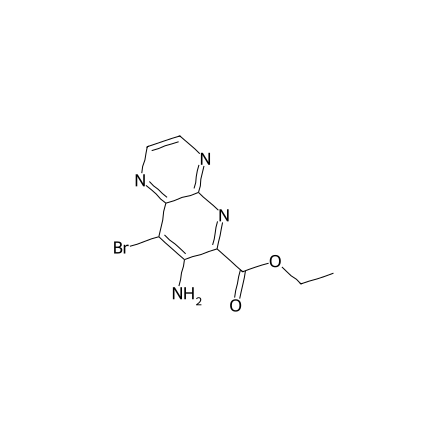 CCOC(=O)c1nc2nccnc2c(Br)c1N